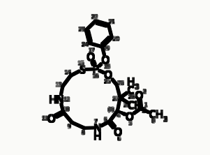 CC(=O)O[C@H]1C(=O)NCCC(=O)NCCSP(=O)(Oc2ccccc2)OCC1(C)C